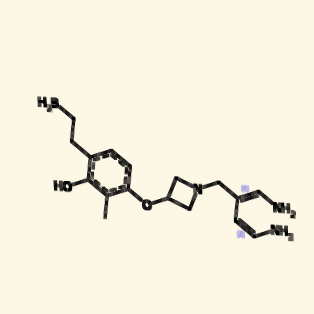 BCCc1ccc(OC2CN(CC(/C=C\N)=C/N)C2)c(C)c1O